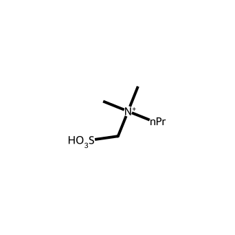 CCC[N+](C)(C)CS(=O)(=O)O